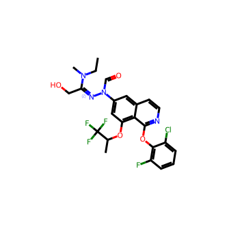 CCN(C)/C(CO)=N\N(C=O)c1cc(OC(C)C(F)(F)F)c2c(Oc3c(F)cccc3Cl)nccc2c1